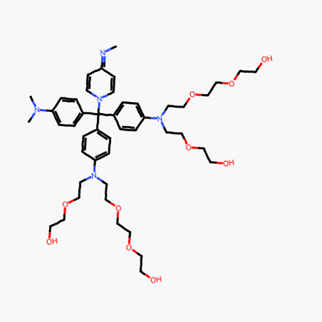 CN=c1ccn(C(c2ccc(N(C)C)cc2)(c2ccc(N(CCOCCO)CCOCCOCCO)cc2)c2ccc(N(CCOCCO)CCOCCOCCO)cc2)cc1